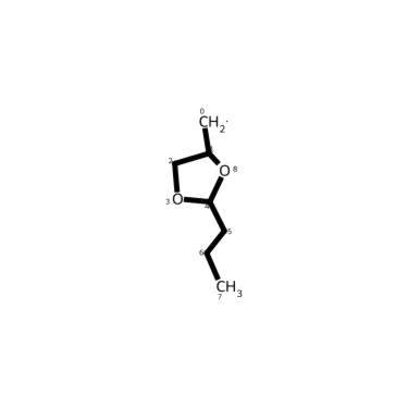 [CH2]C1COC(CCC)O1